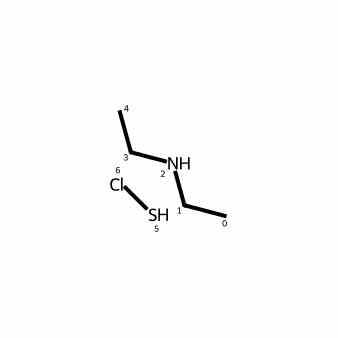 CCNCC.SCl